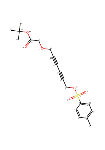 Cc1ccc(S(=O)(=O)OCC#CC#CCOCC(=O)OC(C)(C)C)cc1